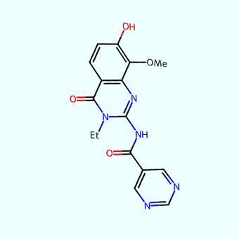 CCn1c(NC(=O)c2cncnc2)nc2c(OC)c(O)ccc2c1=O